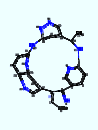 CN/C=C1\C(=N)c2ccc(nc2)NC(C)c2cnnc(c2)Nc2ccc3ncc1cc3n2